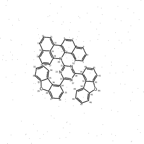 c1ccc2c3c(ccc2c1)-c1cccc2cccc(c12)N3c1nc(-c2cccc3oc4ccccc4c23)nc(-c2cccc3oc4ccccc4c23)n1